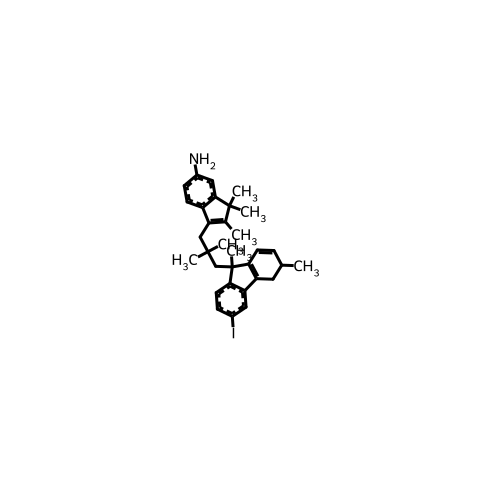 CC1=C(CC(C)(C)CC2(C)C3=C(CC(C)C=C3)c3cc(I)ccc32)c2ccc(N)cc2C1(C)C